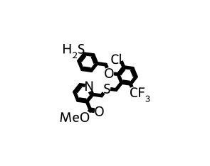 COC(=O)c1cccnc1CSCc1c(C(F)(F)F)ccc(Cl)c1OCc1ccccc1.S